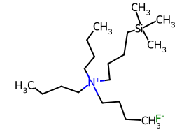 CCCC[N+](CCCC)(CCCC)CCCC[Si](C)(C)C.[F-]